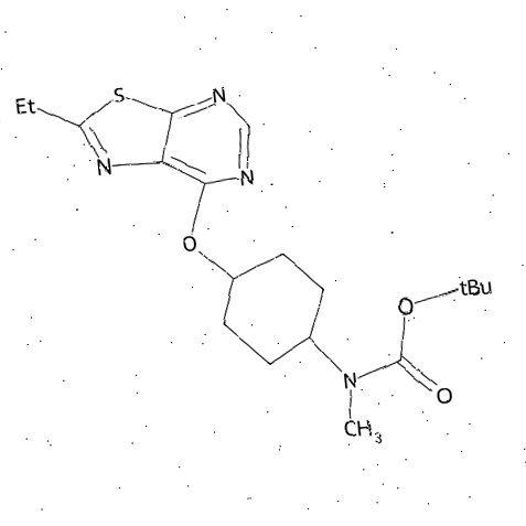 CCc1nc2c(OC3CCC(N(C)C(=O)OC(C)(C)C)CC3)ncnc2s1